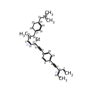 C=C/C(C#Cc1ccc(C#C[C@H](/C=C\N(C)CC2=C=C=C(CN(C)C)CC2)CC)cc1)=C\C